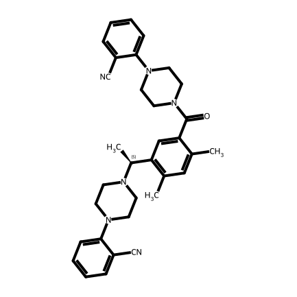 Cc1cc(C)c([C@H](C)N2CCN(c3ccccc3C#N)CC2)cc1C(=O)N1CCN(c2ccccc2C#N)CC1